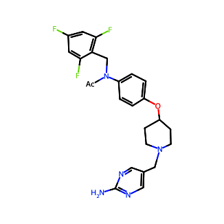 CC(=O)N(Cc1c(F)cc(F)cc1F)c1ccc(OC2CCN(Cc3cnc(N)nc3)CC2)cc1